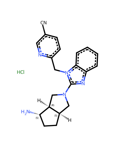 Cl.N#Cc1ccc(Cn2c(N3C[C@H]4CC[C@H](N)[C@H]4C3)nc3ccccc32)nc1